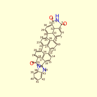 O=C1NC(=O)C2=CC=C3c4ccc5c6ccc7c8c(ccc(c9ccc(c4c95)C4=CC=C1C2C43)c68)c(=O)n1c2ccccc2nc71